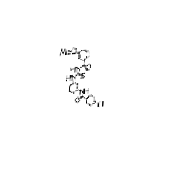 COc1cccc(C(=O)NC(=S)Nc2cccc(NC(=O)c3ccc(Cl)cc3)c2)c1